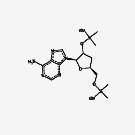 CC(C)(C)[Si](C)(C)OC[C@@H]1CC(O[Si](C)(C)C(C)(C)C)[C@H](n2cnc3c(N)ncnc32)O1